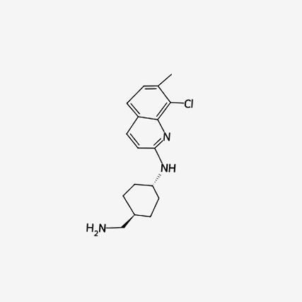 Cc1ccc2ccc(N[C@H]3CC[C@H](CN)CC3)nc2c1Cl